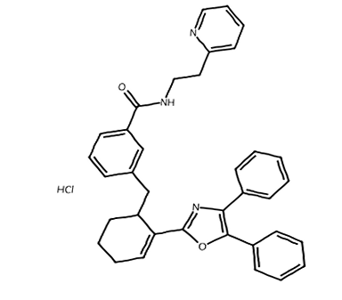 Cl.O=C(NCCc1ccccn1)c1cccc(CC2CCCC=C2c2nc(-c3ccccc3)c(-c3ccccc3)o2)c1